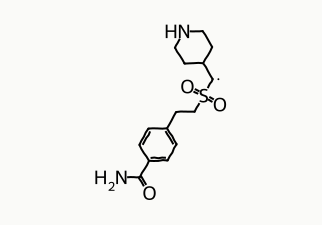 NC(=O)c1ccc(CCS(=O)(=O)[CH]C2CCNCC2)cc1